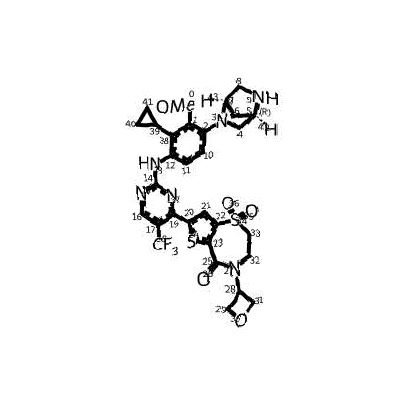 COc1c(N2C[C@H]3C[C@@H]2CN3)ccc(Nc2ncc(C(F)(F)F)c(-c3cc4c(s3)C(=O)N(C3COC3)CCS4(=O)=O)n2)c1C1CC1